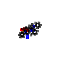 N#CC1(NC(=O)[C@H](CC2CCCCC2)NC2=NS(=O)(=O)c3ccccc32)CCN(C2CCCCC2)C1